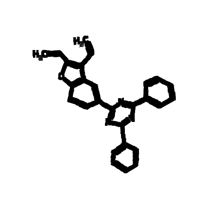 C=Cc1oc2ccc(-c3nc(-c4ccccc4)nc(-c4ccccc4)n3)cc2c1C=C